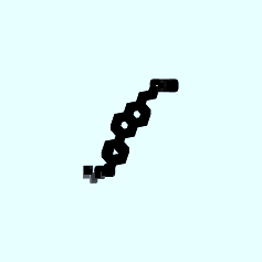 O=CCCC1CCC2CC(c3ccc(OC(F)(F)F)cc3)CCC2C1